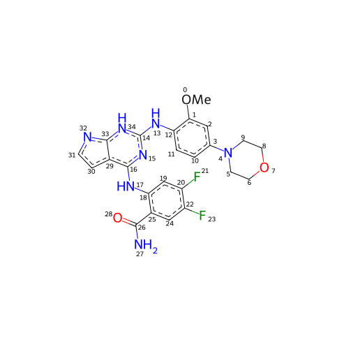 COc1cc(N2CCOCC2)ccc1Nc1nc(Nc2cc(F)c(F)cc2C(N)=O)c2ccnc-2[nH]1